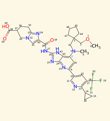 COCC1(CN(C)c2cc(-c3cnc(C4CC4)c(C(F)(F)F)c3)nc3nc(NC(=O)c4cn5c(n4)CCC(C(=O)O)C5)[nH]c23)CCCC1